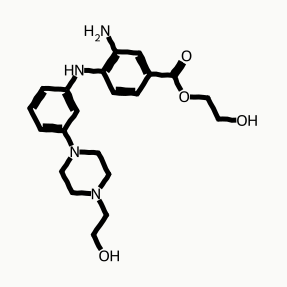 Nc1cc(C(=O)OCCO)ccc1Nc1cccc(N2CCN(CCO)CC2)c1